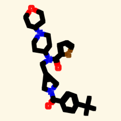 CC(C)(C)c1ccc(C(=O)N2CC3C(C2)C3CN(C(=O)c2cccs2)C2CCN(C3CCOCC3)CC2)cc1